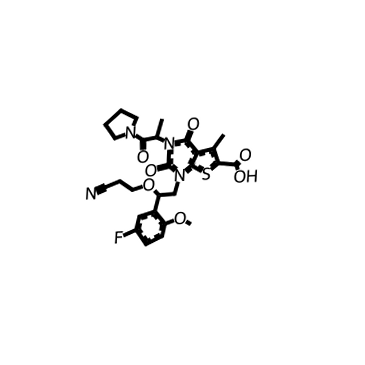 COc1ccc(F)cc1C(Cn1c(=O)n(C(C)C(=O)N2CCCC2)c(=O)c2c(C)c(C(=O)O)sc21)OCCC#N